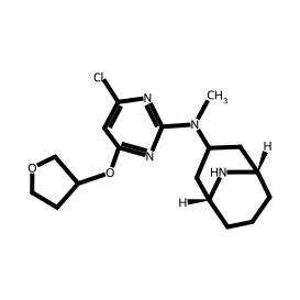 CN(c1nc(Cl)cc(OC2CCOC2)n1)C1C[C@H]2CCC[C@@H](C1)N2